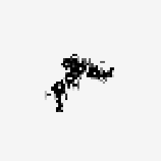 CCC(C)C(=O)Nc1c(C)cc(C)c(/N=c2/ccc3c(-c4ccccc4S(=O)(=O)O)c4ccc(Nc5c(C)cc(C)c(NC(=O)CCC(C)C)c5C)cc4oc-3c2)c1C